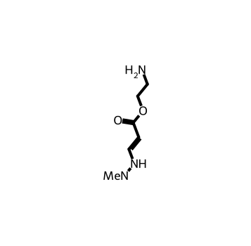 CNN/C=C/C(=O)OCCN